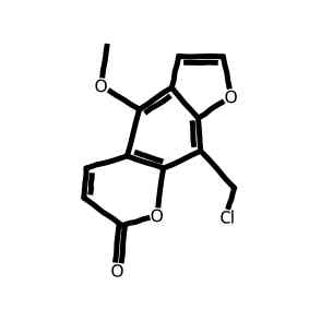 COc1c2ccoc2c(CCl)c2oc(=O)ccc12